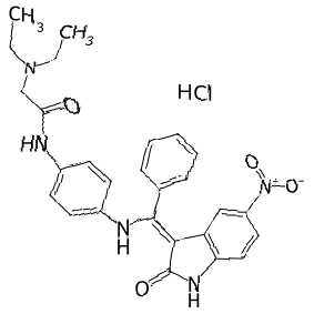 CCN(CC)CC(=O)Nc1ccc(N/C(=C2\C(=O)Nc3ccc([N+](=O)[O-])cc32)c2ccccc2)cc1.Cl